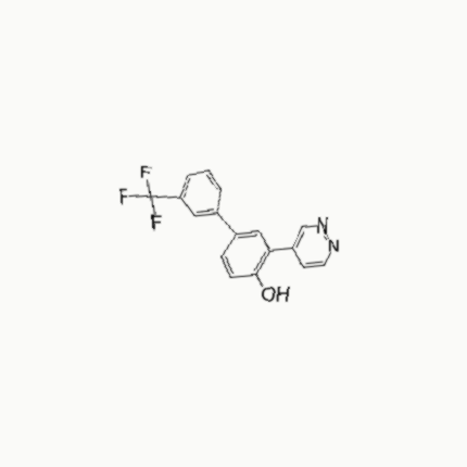 Oc1ccc(-c2cccc(C(F)(F)F)c2)cc1-c1ccnnc1